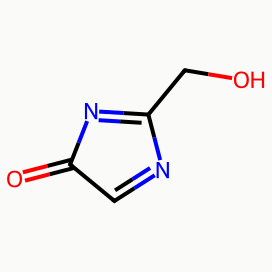 O=C1C=NC(CO)=N1